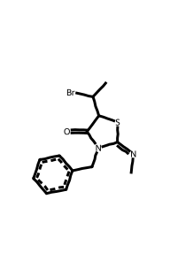 C/N=C1/SC(C(C)Br)C(=O)N1Cc1ccccc1